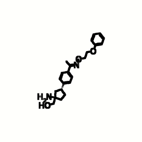 C/C(=N\OCCOc1ccccc1)c1ccc([C@@H]2CC[C@](N)(CO)C2)cc1